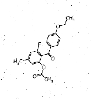 CCOc1ccc(C(=O)c2c(F)cc(C)cc2OC(C)=O)cc1